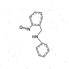 O=Nc1ccccc1CNc1ccccc1